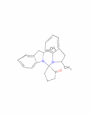 CC1Cc2ccccc2N1C1(N2c3ccccc3CC2C)CCCC1=O